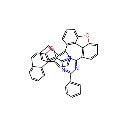 c1ccc(-c2nc(-c3ccccc3)nc(-c3cccc4oc5cccc(-c6cccc7c6oc6ccc8ccccc8c67)c5c34)n2)cc1